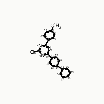 Cc1ccc(-c2nc(Cl)nc(-c3ccc(-c4ccccc4)cc3)n2)cc1